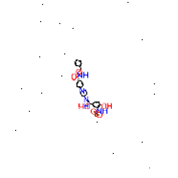 CS(=O)(=O)Nc1cc(C(O)CNC2CCN(c3ccc(C(=O)NOCc4ccccc4)cc3)CC2)ccc1O